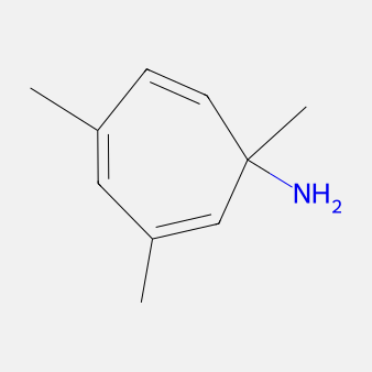 CC1=CC(C)=CC(C)(N)C=C1